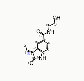 C/C=C1/C(=O)Nc2ccc(C(=O)NCCO)cc21